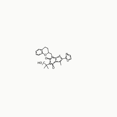 Cc1c(-c2ncco2)sc2c1c(=O)n(C(C)(C)C(=O)O)c(=O)n2CC1CCc2ccccc2O1